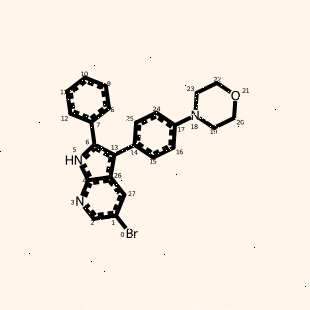 Brc1cnc2[nH]c(-c3ccccc3)c(-c3ccc(N4CCOCC4)cc3)c2c1